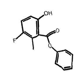 Cc1c(F)ccc(O)c1C(=O)Oc1ccccc1